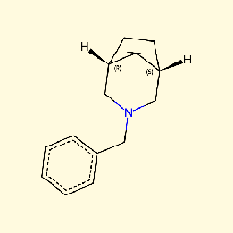 c1ccc(CN2C[C@H]3CC[C@@H](C2)C32CC2)cc1